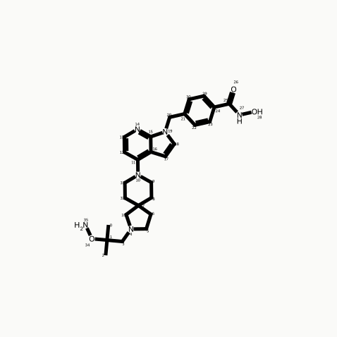 CC(C)(CN1CCC2(CCN(c3ccnc4c3ccn4Cc3ccc(C(=O)NO)cc3)CC2)C1)ON